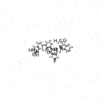 CC(=O)c1nn(CC(=O)N2C[C@H](F)C[C@H]2C(=O)Nc2cccc(-c3ccc4c(c3)NC(=O)NC4)c2F)c2ccccc12